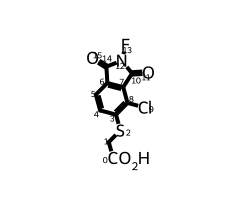 O=C(O)CSc1ccc2c(c1Cl)C(=O)N(F)C2=O